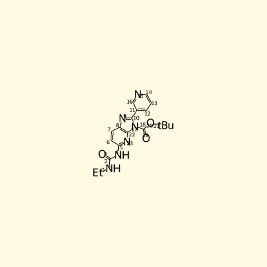 CCNC(=O)Nc1ccc2nc(-c3cccnc3)n(C(=O)OC(C)(C)C)c2n1